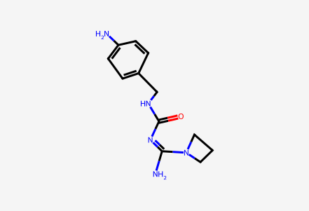 NC(=NC(=O)NCc1ccc(N)cc1)N1CCC1